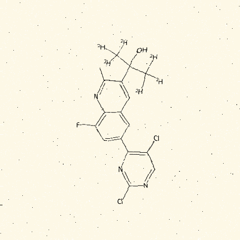 [2H]C([2H])([2H])C(O)(c1cc2cc(-c3nc(Cl)ncc3Cl)cc(F)c2nc1C)C([2H])([2H])[2H]